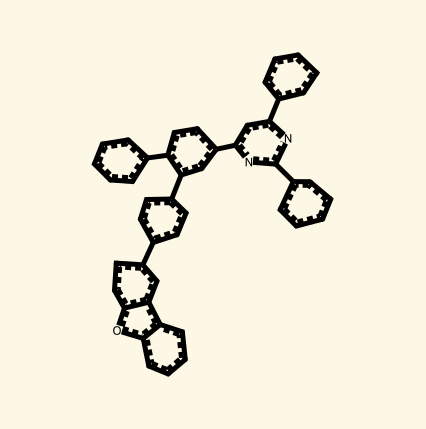 c1ccc(-c2cc(-c3ccc(-c4ccccc4)c(-c4ccc(-c5ccc6oc7ccccc7c6c5)cc4)c3)nc(-c3ccccc3)n2)cc1